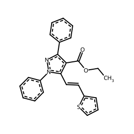 CCOC(=O)c1c(-c2ccccc2)nn(-c2ccccc2)c1C=Cc1cccs1